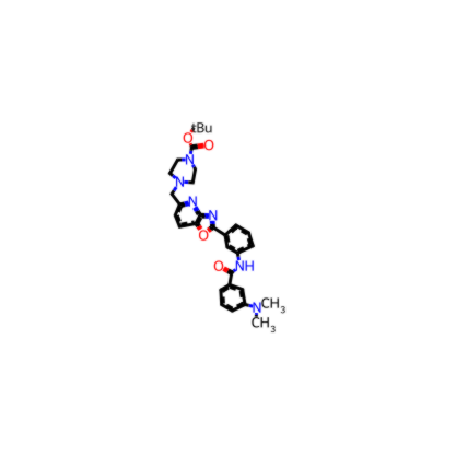 CN(C)c1cccc(C(=O)Nc2cccc(-c3nc4nc(CN5CCN(C(=O)OC(C)(C)C)CC5)ccc4o3)c2)c1